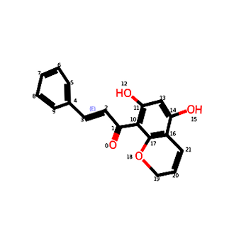 O=C(/C=C/c1ccccc1)c1c(O)cc(O)c2c1OCC=C2